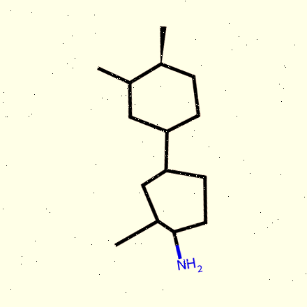 CC1CC(C2CC[C@H](C)C(C)C2)CCC1N